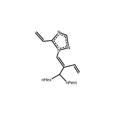 C=C/C(=C\n1ncnc1C=C)C(CCCCC)CCCCCC